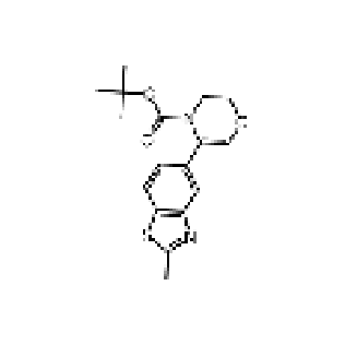 Cc1nc2cc(C3=COCCN3C(=O)OC(C)(C)C)ccc2s1